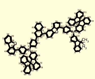 CC1(C)c2ccccc2-c2ccc(N(c3ccc(-c4cccc5c4oc4ccc(-c6cc(-c7ccc(N(c8ccc(-c9cccc%10c9oc9ccccc9%10)cc8)c8ccc9c(c8)C8(c%10ccccc%10-c%10ccccc%108)c8ccccc8-9)cc7)cc7ccccc67)cc45)cc3)c3ccc4c(c3)C3(c5ccccc5-c5ccccc53)c3ccccc3-4)cc21